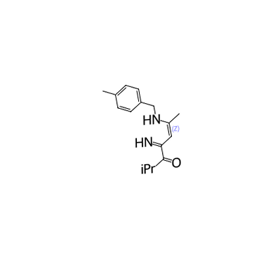 C/C(=C/C(=N)C(=O)C(C)C)NCc1ccc(C)cc1